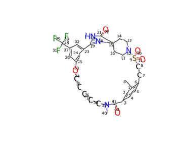 Cc1cc2ccc1CCS(=O)(=O)N1CCC3(CC1)N=C(NC3=O)c1cc(cc(C(F)(F)F)c1)OCCCCCN(C)C2=O